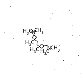 CN(C)CC1CC(C)(CCC2(C)CC(N(C)C)C2)C1